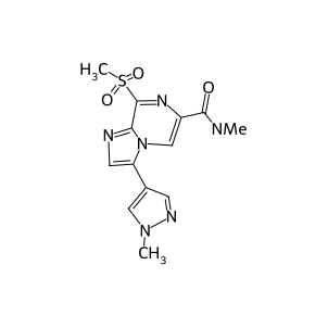 CNC(=O)c1cn2c(-c3cnn(C)c3)cnc2c(S(C)(=O)=O)n1